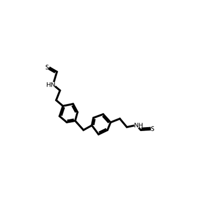 S=CNCCc1ccc(Cc2ccc(CCNC=S)cc2)cc1